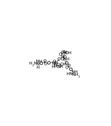 N=C(N)Nc1ccc(C(=O)Oc2ccc(CNS(=O)(=O)N(CCOCCN(C(CC(=O)O)C(=O)O)S(=O)(=O)NCc3ccc(OC(=O)c4ccc(NC(=N)N)cc4)cc3)C(CC(=O)O)C(=O)O)cc2)cc1